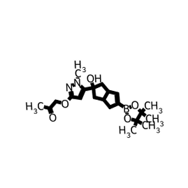 CC(=O)COc1cc(C2(O)CC3C=C(B4OC(C)(C)C(C)(C)O4)CC3C2)n(C)n1